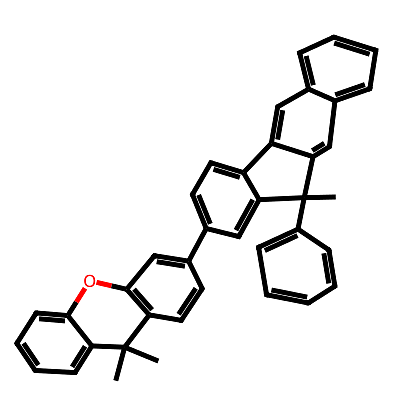 CC1(C)c2ccccc2Oc2cc(-c3ccc4c(c3)C(C)(c3ccccc3)c3cc5ccccc5cc3-4)ccc21